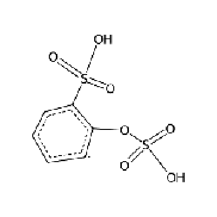 O=S(=O)(O)Oc1[c]cccc1S(=O)(=O)O